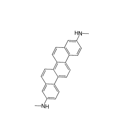 CNc1ccc2c(ccc3c2ccc2c4ccc(NC)cc4ccc23)c1